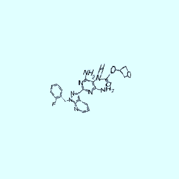 Nc1nc(-c2nn(Cc3ccccc3F)c3ncccc23)nc(N)c1NC(=O)OC1COC1